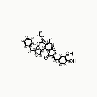 CCOC(=O)C1=C(C)N=c2sc(=Cc3ccc(O)c(O)c3)c(=O)n2C1C1=COC(Cc2ccccc2)O1